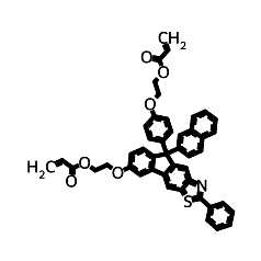 C=CC(=O)OCCOc1ccc(C2(c3ccc4ccccc4c3)c3ccc(OCCOC(=O)C=C)cc3-c3cc4sc(-c5ccccc5)nc4cc32)cc1